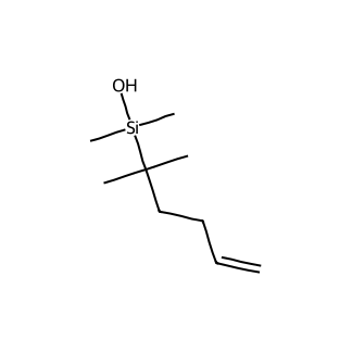 C=CCCC(C)(C)[Si](C)(C)O